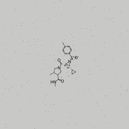 CNC(=O)C1CN(C(=O)[C@H]2[C@@H](C3CC3)N2[S@+]([O-])c2ccc(C)cc2)CC1C